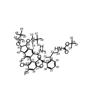 CNC(=O)c1cc2c(c(F)c1-c1c(Cl)c(F)cc3c1C[C@@](CCCCNC(=O)OC(C)(C)C)(c1ccccc1)O3)CC(O[Si](C)(C)C(C)(C)C)C2O[Si](C)(C)C(C)(C)C